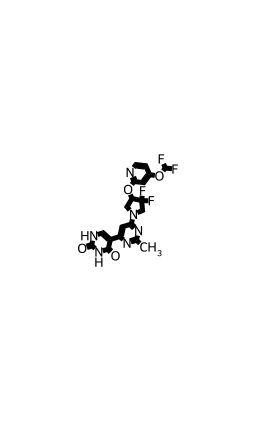 Cc1nc(-c2c[nH]c(=O)[nH]c2=O)cc(N2CC(Oc3cc(OC(F)F)ccn3)C(F)(F)C2)n1